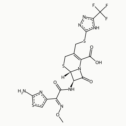 CON=C(C(=O)N[C@@H]1C(=O)N2C(C(=O)O)=C(CSc3nnc(C(F)(F)F)[nH]3)CS[C@@H]12)c1csc(N)n1